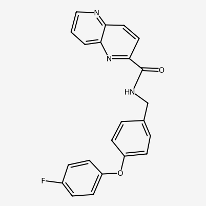 O=C(NCc1ccc(Oc2ccc(F)cc2)cc1)c1ccc2ncccc2n1